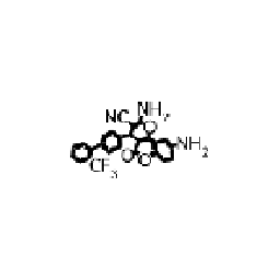 N#CC1=C(N)Oc2c(c(=O)oc3ccc(N)cc23)C1c1ccc(-c2ccccc2C(F)(F)F)cc1